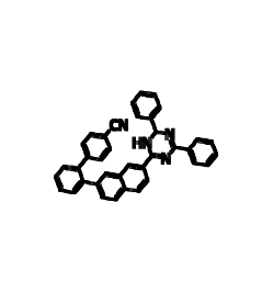 N#Cc1ccc(-c2ccccc2-c2ccc3ccc(C4=NC(c5ccccc5)=NC(c5ccccc5)N4)cc3c2)cc1